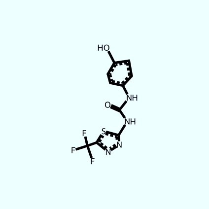 O=C(Nc1ccc(O)cc1)Nc1nnc(C(F)(F)F)s1